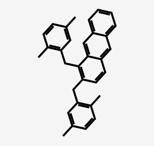 Cc1ccc(C)c(Cc2ccc3cc4ccccc4cc3c2Cc2cc(C)ccc2C)c1